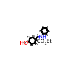 CCOC(=O)C1(CNc2ccccc2)CCC(O)CC1